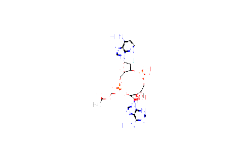 CC(C)(C)C(=O)OCOP1(=O)OC[C@H]2O[C@@H](n3cnc4c(N)ccnc43)[C@@H](F)C2OP(=O)(O)OC[C@H]2O[C@@H](n3cnc4c(N)ncnc43)C(O1)[C@H]2O